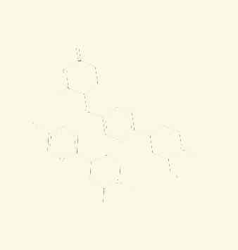 CC(C)(C)C1CC(c2ccc(N)cn2)CCN1C(=O)O.CC(C)(C)C1CC(c2ccc(NC3CCC(=O)NC3=O)cn2)CCN1C(=O)O